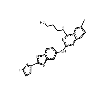 Cc1ccc2nc(Nc3ccc4nc(-c5cc[nH]n5)sc4c3)nc(NCCCO)c2c1